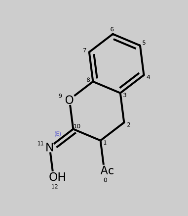 CC(=O)C1Cc2ccccc2O/C1=N/O